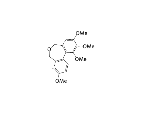 COc1[c]c2c(cc1)-c1c(cc(OC)c(OC)c1OC)COC2